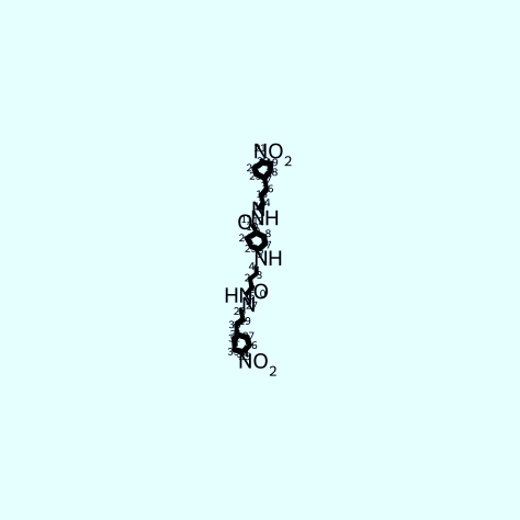 O=C(CCCNc1ccc(C(=O)N/N=C/C=C/c2ccc([N+](=O)[O-])cc2)cc1)N/N=C/C=C/c1ccc([N+](=O)[O-])cc1